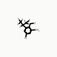 Cc1[c]c(Cl)cc(C(F)(C(F)(F)F)C(F)(F)F)c1CCl